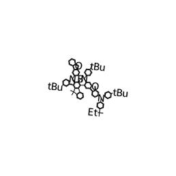 CCC(C)(C)c1ccc(N(c2ccc(C(C)(C)C)cc2)c2ccc3c(c2)oc2cc4c(cc23)-c2c3c(c5c6cc(C(C)(C)C)ccc6n6c5c2B(c2cc5oc7ccccc7c5cc2-6)N4c2ccc(C(C)(C)C)cc2)C(C)(C)c2ccccc2-3)cc1